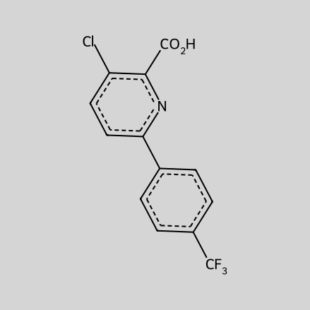 O=C(O)c1nc(-c2ccc(C(F)(F)F)cc2)ccc1Cl